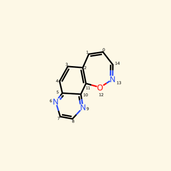 C1=Cc2ccc3nccnc3c2ON=C1